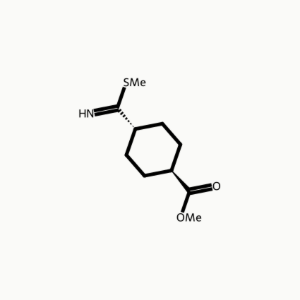 COC(=O)[C@H]1CC[C@H](C(=N)SC)CC1